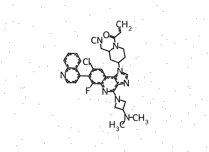 C=CC(=O)N1CCC(n2cnc3c(N4CC(N(C)C)C4)nc4c(F)c(-c5ccnc6ccccc56)c(Cl)cc4c32)CC1CC#N